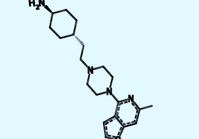 Cc1cc2occc2c(N2CCN(CC[C@H]3CC[C@H](N)CC3)CC2)n1